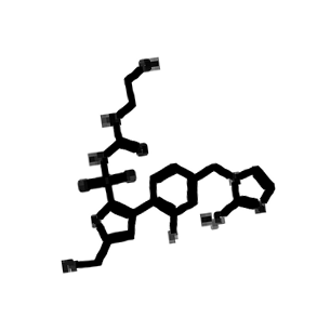 Cc1nccn1Cc1ccc(-c2cc(CC(C)C)sc2S(=O)(=O)NC(=O)NCCO)c(F)c1